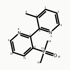 Cc1cccnc1-c1ncccc1P(C)(C)=O